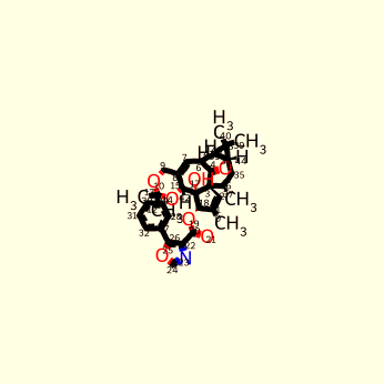 CC1=C[C@]23C(=O)[C@@H](C=C4COC(C)(C)O[C@H]4[C@]2(O)[C@H]1OC(=O)c1ncoc1-c1ccccc1)[C@H]1[C@@H](C[C@H]3C)C1(C)C